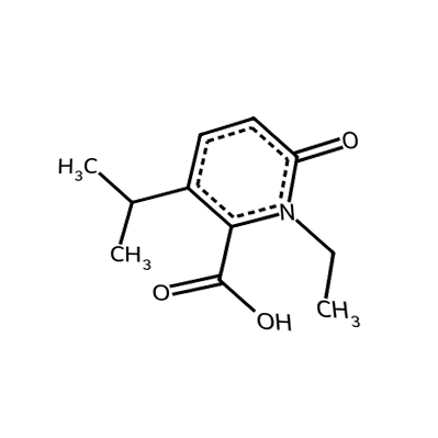 CCn1c(C(=O)O)c(C(C)C)ccc1=O